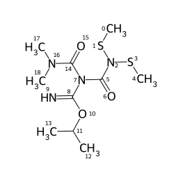 CSN(SC)C(=O)N(C(=N)OC(C)C)C(=O)N(C)C